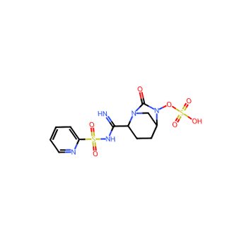 N=C(NS(=O)(=O)c1ccccn1)C1CCC2CN1C(=O)N2OS(=O)(=O)O